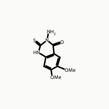 COc1cc2[nH]c(=S)n(N)c(=O)c2cc1OC